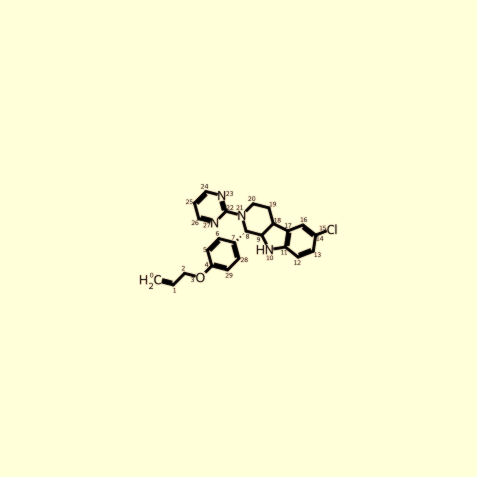 C=CCOc1ccc([C@H]2C3Nc4ccc(Cl)cc4C3CCN2c2ncccn2)cc1